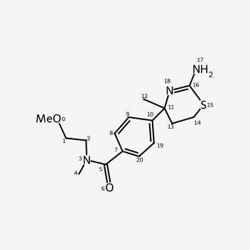 COCCN(C)C(=O)c1ccc(C2(C)CCSC(N)=N2)cc1